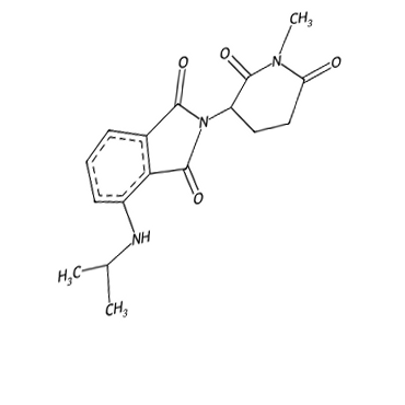 CC(C)Nc1cccc2c1C(=O)N(C1CCC(=O)N(C)C1=O)C2=O